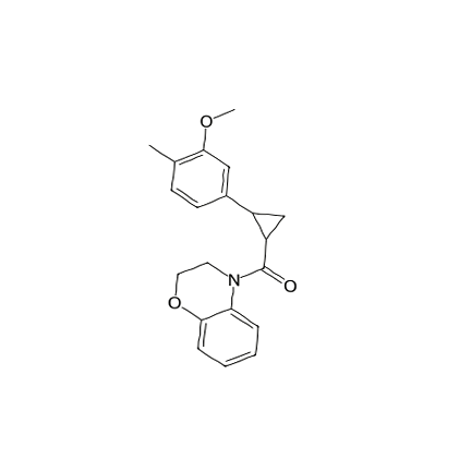 COc1cc(C2CC2C(=O)N2CCOc3ccccc32)ccc1C